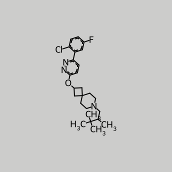 CC(CN1CCC2(CC1)CC(Oc1ccc(-c3cc(F)ccc3Cl)nn1)C2)C(C)(C)C